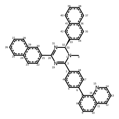 CN1C(c2ccc(-c3cccc4cccnc34)cc2)=NC(c2ccc3ccccc3c2)=N[C@H]1c1ccc2ccccc2c1